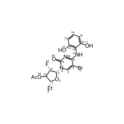 CC[C@H]1O[C@@H](n2cc(Br)c(Nc3c(O)cccc3O)nc2=O)[C@@H](F)C1OC(C)=O